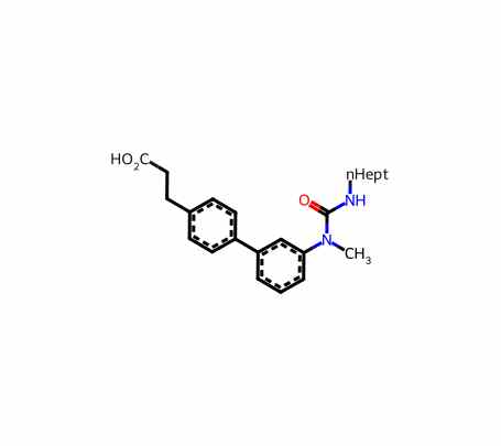 CCCCCCCNC(=O)N(C)c1cccc(-c2ccc(CCC(=O)O)cc2)c1